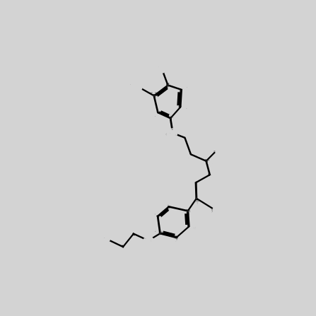 CC(C)CCOc1ccc(C(C)CCC(C)CCOc2ccc(C(C)C)c(F)c2)cc1